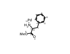 COC(=O)[C@@H](N)Cc1ccccc1.[Pd]